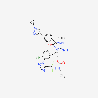 CC(C)(C)C[C@]1(c2ccc(-c3cnn(C4CC4)c3)cc2)NC(=N)N([C@H](COC(=O)NCC(F)(F)F)c2ccc(Cl)c(-n3ncnc3C(F)F)c2)C1=O